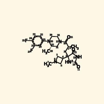 CC(CC1(C2CN(C)C2)NC(=O)NC1=O)C(=O)N1CCN(c2ccc(F)c(F)c2)[C@@H](C)C1